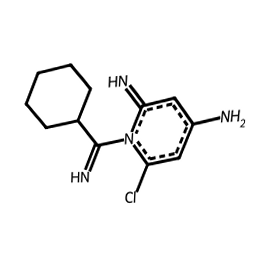 N=C(C1CCCCC1)n1c(Cl)cc(N)cc1=N